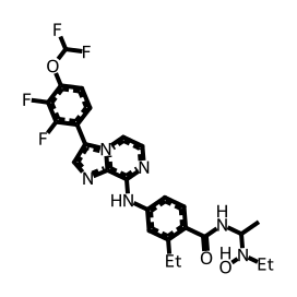 CCc1cc(Nc2nccn3c(-c4ccc(OC(F)F)c(F)c4F)cnc23)ccc1C(=O)NC(C)N(O)CC